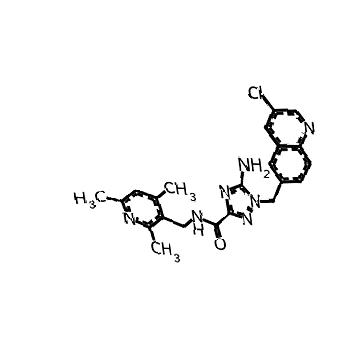 Cc1cc(C)c(CNC(=O)c2nc(N)n(Cc3ccc4ncc(Cl)cc4c3)n2)c(C)n1